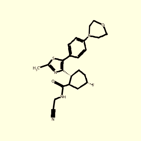 Cc1nc([C@@H]2CC[C@H](F)CC2C(=O)NCC#N)c(-c2ccc(N3CCOCC3)cc2)s1